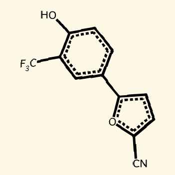 N#Cc1ccc(-c2ccc(O)c(C(F)(F)F)c2)o1